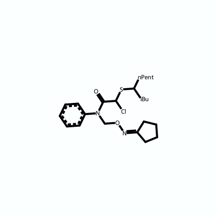 CCCCCC(SC(Cl)C(=O)N(CON=C1CCCC1)c1ccccc1)C(C)CC